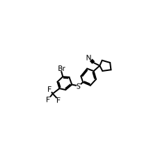 N#CC1(c2ccc(Sc3cc(Br)cc(C(F)(F)F)c3)cc2)CCCC1